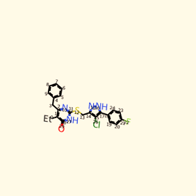 CCc1c(Cc2ccccc2)nc(SCc2n[nH]c(-c3ccc(F)cc3)c2Cl)[nH]c1=O